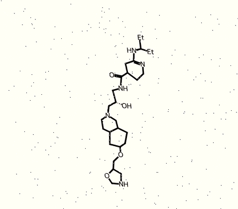 CCC(CC)NC1=NCCC(C(=O)NC[C@H](O)CN2CCC3CC(OCC4CNCO4)CCC3C2)C1